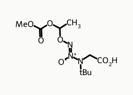 COC(=O)OC(C)ON=[N+]([O-])N(CC(=O)O)C(C)(C)C